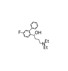 CCN(CC)CCCC(O)c1ccc(F)cc1-c1ccccc1